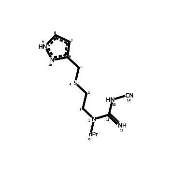 CCCN(CCSCc1cc[nH]n1)C(=N)NC#N